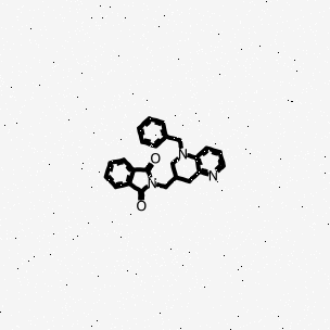 O=C1c2ccccc2C(=O)N1CC1Cc2ncccc2N(Cc2ccccc2)C1